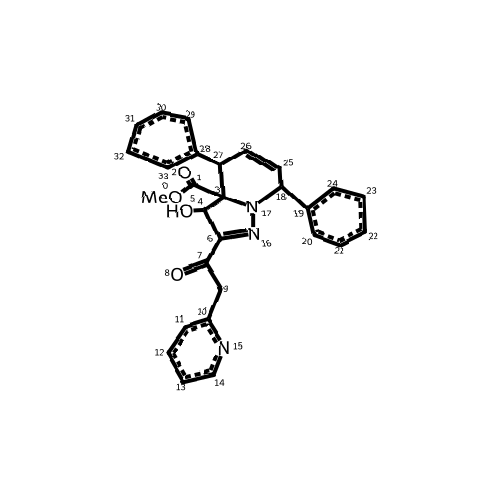 COC(=O)C12C(O)C(C(=O)Cc3ccccn3)=NN1C(c1ccccc1)C=CC2c1ccccc1